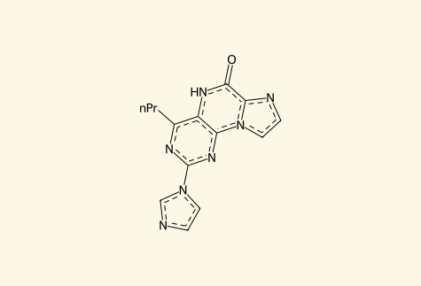 CCCc1nc(-n2ccnc2)nc2c1[nH]c(=O)c1nccn12